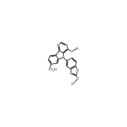 CCOC(=O)c1ccc2c3ncnc(OCC)c3n(-c3ccc4oc(OCC)nc4c3)c2c1